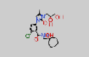 Cc1cn(-c2ccc(Cl)c(C(=O)NCC3(O)CCCCCC3)c2)c(=O)n1CC(O)CO